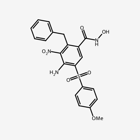 COc1ccc(S(=O)(=O)c2cc(C(=O)NO)c(Cc3ccccc3)c([N+](=O)[O-])c2N)cc1